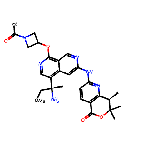 CCC(=O)N1CC(Oc2ncc([C@](C)(N)COC)c3cc(Nc4ccc5c(n4)[C@@H](C)C(C)(C)OC5=O)ncc23)C1